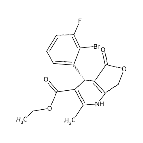 CCOC(=O)C1=C(C)NC2=C(C(=O)OC2)[C@H]1c1cccc(F)c1Br